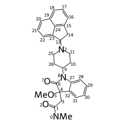 CNC(=O)CC1(OC)C(=O)N(C2CCN(C3Cc4cccc5cccc3c45)CC2)c2ccccc21